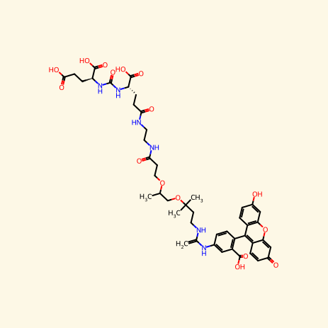 C=C(NCCC(C)(C)OCC(C)OCCC(=O)NCCNC(=O)CC[C@H](NC(=O)N[C@@H](CCC(=O)O)C(=O)O)C(=O)O)Nc1ccc(-c2c3ccc(=O)cc-3oc3cc(O)ccc23)c(C(=O)O)c1